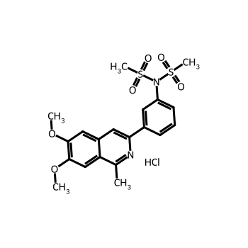 COc1cc2cc(-c3cccc(N(S(C)(=O)=O)S(C)(=O)=O)c3)nc(C)c2cc1OC.Cl